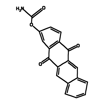 NC(=O)Oc1ccc2c(c1)C(=O)c1cc3ccccc3cc1C2=O